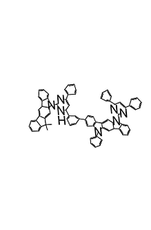 CC1(C)C2=CC3C(C=C2c2ccccc21)c1ccccc1N3C1=NC(c2ccccc2)=CC(c2cccc(-c3ccc4c5c(n(-c6ccccc6)c4c3)=CC3c4ccccc4N(c4nc(-c6ccccc6)cc(-c6ccccc6)n4)C3C=5)c2)N1